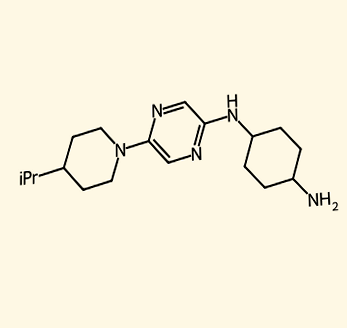 CC(C)C1CCN(c2cnc(NC3CCC(N)CC3)cn2)CC1